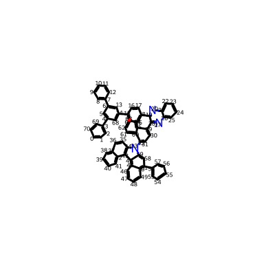 c1ccc(-c2cc(-c3ccccc3)cc(-c3ccc(-c4nc5ccccc5nc4-c4ccc(-n5c6ccc7ccccc7c6c6c7ccccc7c(-c7ccccc7)cc65)c5ccccc45)cc3)c2)cc1